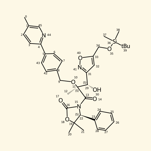 Cc1ccc(-c2ccc(CO[C@](C)(C(=O)N3C(=O)OC(C)(C)[C@@H]3c3ccccc3)[C@@H](O)c3cc(CO[Si](C)(C)C(C)(C)C)on3)cc2)nc1